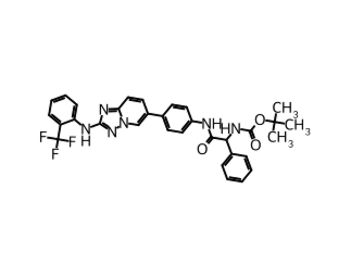 CC(C)(C)OC(=O)NC(C(=O)Nc1ccc(-c2ccc3nc(Nc4ccccc4C(F)(F)F)nn3c2)cc1)c1ccccc1